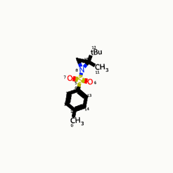 Cc1ccc(S(=O)(=O)N2CC2(C)C(C)(C)C)cc1